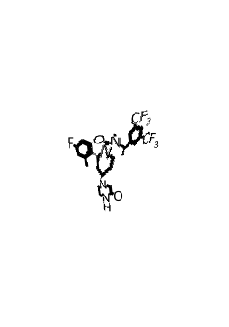 Cc1cc(F)ccc1[C@H]1C[C@@H](N2CCNC(=O)C2)CCN1C(=O)N(C)[C@H](C)c1cc(C(F)(F)F)cc(C(F)(F)F)c1